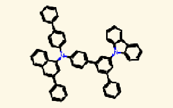 c1ccc(-c2ccc(N(c3ccc(-c4cc(-c5ccccc5)cc(-n5c6ccccc6c6ccccc65)c4)cc3)c3cc(-c4ccccc4)cc4ccccc34)cc2)cc1